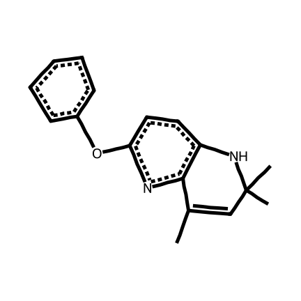 CC1=CC(C)(C)Nc2ccc(Oc3ccccc3)nc21